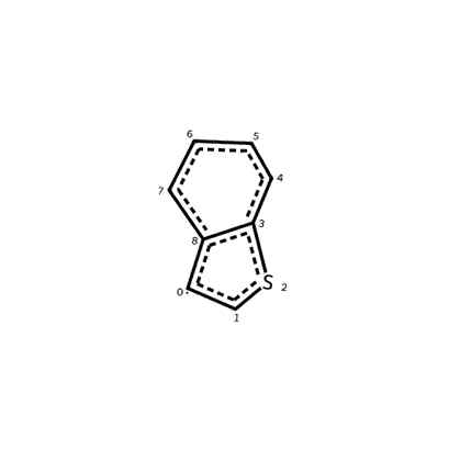 [c]1csc2ccccc12